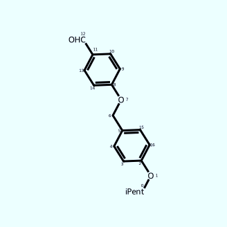 CCCC(C)Oc1ccc(COc2ccc(C=O)cc2)cc1